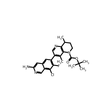 Cc1c(-c2cc3cc(N)ncc3c(Cl)c2F)cnc2c1N(C(=O)OC(C)(C)C)CCC2C